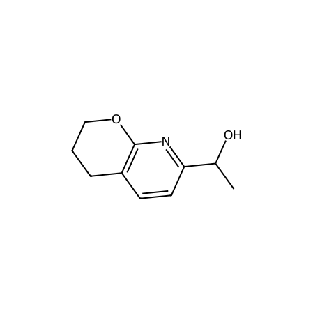 CC(O)c1ccc2c(n1)OCCC2